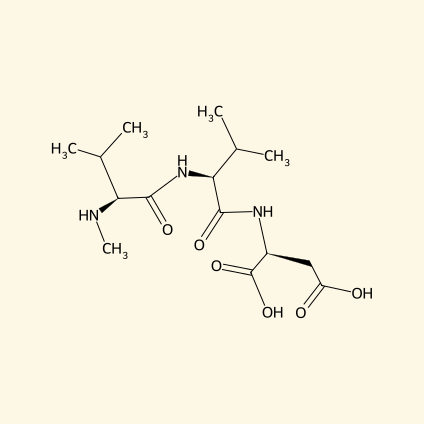 CN[C@H](C(=O)N[C@H](C(=O)N[C@@H](CC(=O)O)C(=O)O)C(C)C)C(C)C